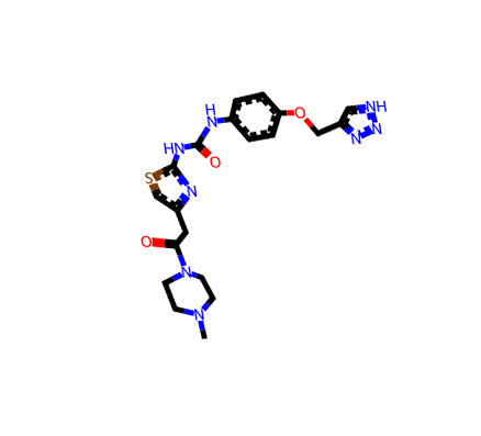 CN1CCN(C(=O)Cc2csc(NC(=O)Nc3ccc(OCc4c[nH]nn4)cc3)n2)CC1